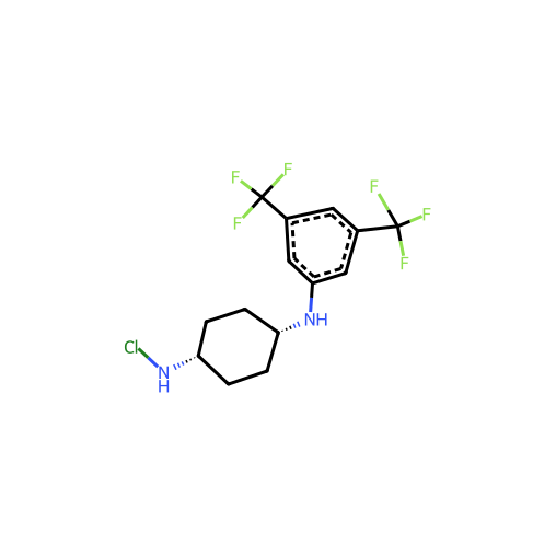 FC(F)(F)c1cc(N[C@H]2CC[C@@H](NCl)CC2)cc(C(F)(F)F)c1